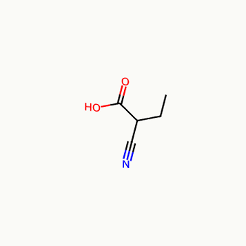 CCC(C#N)C(=O)O